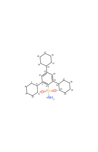 NS(=O)(=O)c1c(C2CCCCC2)cc(C2CCCCC2)cc1C1CCCCC1